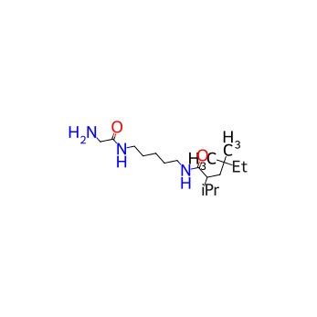 CCC(C)(C)CC(C(=O)NCCCCCNC(=O)CN)C(C)C